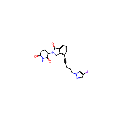 O=C1CCC(N2Cc3c(C#CCCCn4cc(I)cn4)cccc3C2=O)C(=O)N1